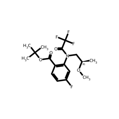 CO[C@H](C)CN(C(=O)C(F)(F)F)c1cc(F)ccc1C(=O)OC(C)(C)C